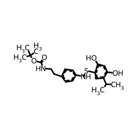 CC(C)c1cc(SNc2ccc(CCNC(=O)OC(C)(C)C)cc2)c(O)cc1O